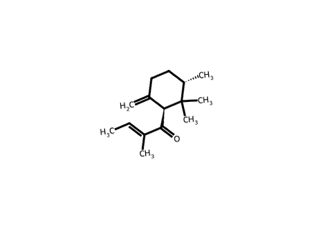 C=C1CC[C@H](C)C(C)(C)[C@H]1C(=O)C(C)=CC